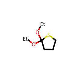 CCOC1(OCC)CCCS1